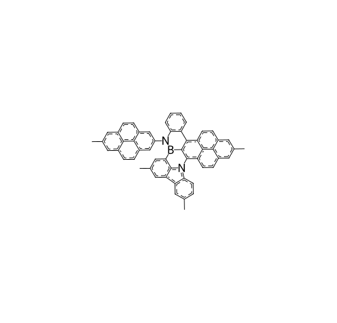 Cc1cc2ccc3cc(N4B5c6c(c7ccc8cc(C)cc9ccc(c6-n6c%10ccc(C)cc%10c%10cc(C)cc5c%106)c7c89)-c5ccccc54)cc4ccc(c1)c2c34